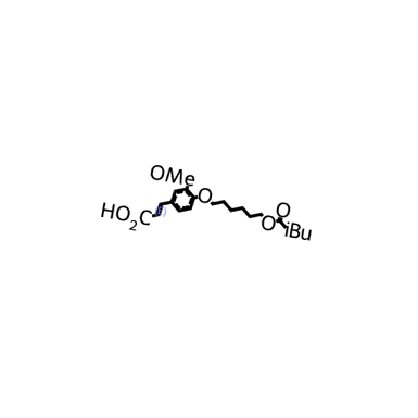 CCC(C)C(=O)OCCCCCCOc1ccc(/C=C/C(=O)O)cc1OC